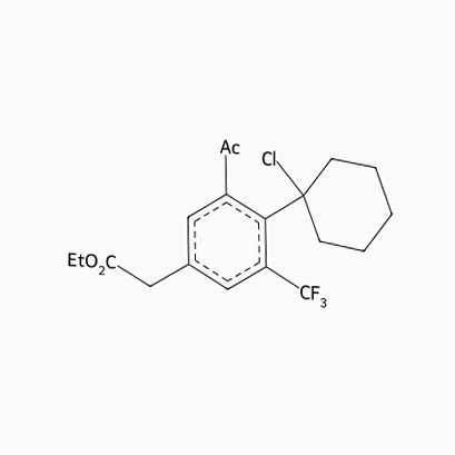 CCOC(=O)Cc1cc(C(C)=O)c(C2(Cl)CCCCC2)c(C(F)(F)F)c1